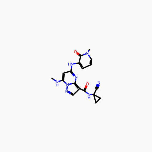 CNc1cc(Nc2cccn(C)c2=O)nc2c(C(=O)NC3(C#N)CC3)cnn12